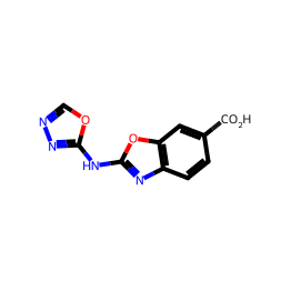 O=C(O)c1ccc2nc(Nc3nnco3)oc2c1